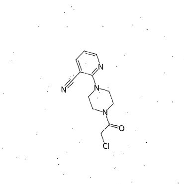 N#Cc1cccnc1N1CCN(C(=O)CCl)CC1